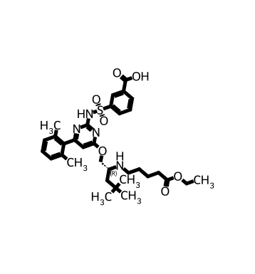 CCOC(=O)CCCCN[C@@H](COc1cc(-c2c(C)cccc2C)nc(NS(=O)(=O)c2cccc(C(=O)O)c2)n1)CC(C)(C)C